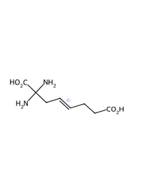 NC(N)(C/C=C/CCC(=O)O)C(=O)O